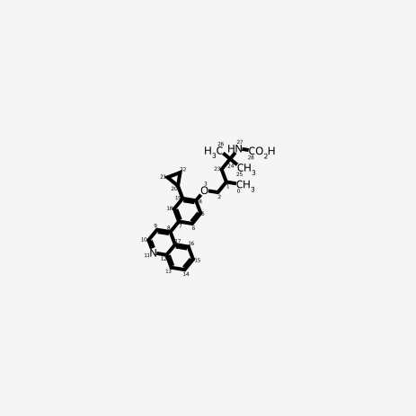 CC(COc1ccc(-c2ccnc3ccccc23)cc1C1CC1)CC(C)(C)NC(=O)O